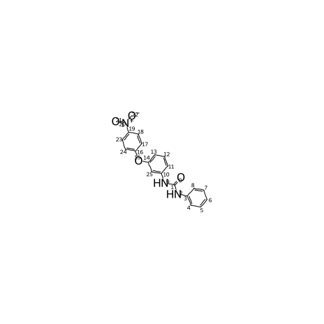 O=C(Nc1ccccc1)Nc1cccc(Oc2ccc([N+](=O)[O-])cc2)c1